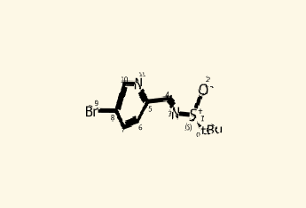 CC(C)(C)[S@@+]([O-])N=Cc1ccc(Br)cn1